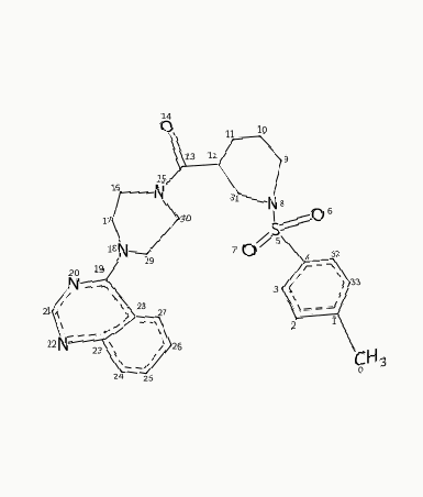 Cc1ccc(S(=O)(=O)N2CCCC(C(=O)N3CCN(c4ncnc5ccccc45)CC3)C2)cc1